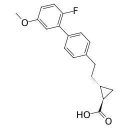 COc1ccc(F)c(-c2ccc(CC[C@@H]3C[C@H]3C(=O)O)cc2)c1